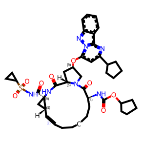 O=C(N[C@H]1CCCCC/C=C\[C@@H]2C[C@@]2(C(=O)NS(=O)(=O)C2CC2)NC(=O)[C@@H]2C[C@@H](Oc3cc(C4CCCC4)nc4c5ccccc5nn34)CN2C1=O)OC1CCCC1